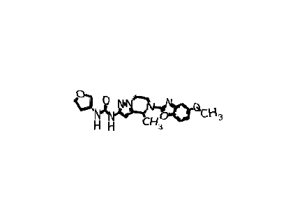 COc1ccc2oc(N3CCn4nc(NC(=O)N[C@@H]5CCOC5)cc4C3C)nc2c1